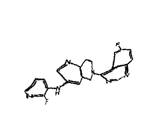 Fc1ccc2ncnc(N3CCc4ncc(Nc5cccnc5F)cc4C3)c2c1